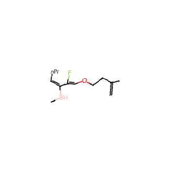 C=C(C)CCO/C=C(F)/C(BC)=C\CCC